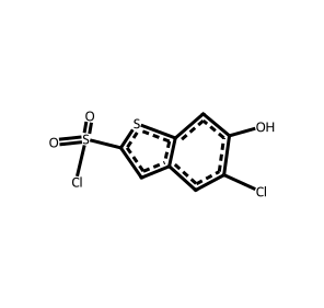 O=S(=O)(Cl)c1cc2cc(Cl)c(O)cc2s1